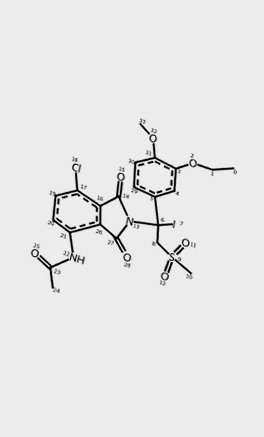 CCOc1cc(C(I)(CS(C)(=O)=O)N2C(=O)c3c(Cl)ccc(NC(C)=O)c3C2=O)ccc1OC